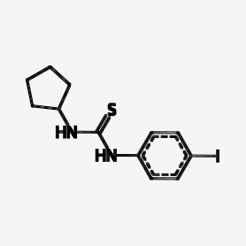 S=C(Nc1ccc(I)cc1)NC1CCCC1